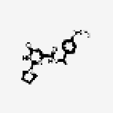 CC(NC(=O)c1cc(=O)[nH]c(N2CCCC2)n1)c1ccc(OC(F)(F)F)cc1